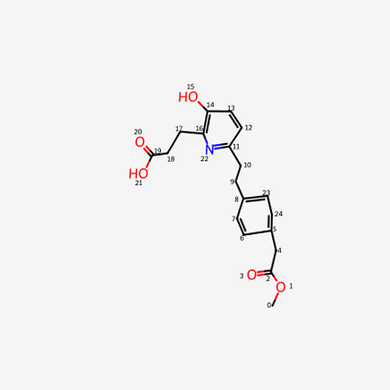 COC(=O)Cc1ccc(CCc2ccc(O)c(CCC(=O)O)n2)cc1